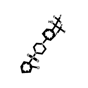 O=S(=O)(c1ccccc1Cl)N1CCN(c2ccc(C(O)(C(F)(F)F)C(F)(F)F)cc2)CC1